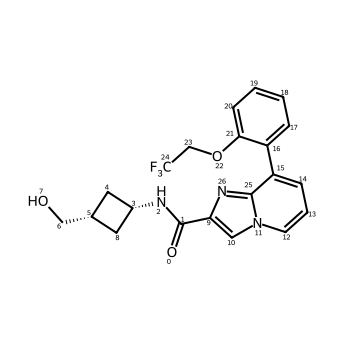 O=C(N[C@H]1C[C@@H](CO)C1)c1cn2cccc(-c3ccccc3OCC(F)(F)F)c2n1